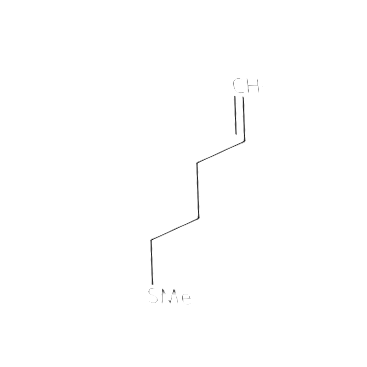 [CH]=CCCCSC